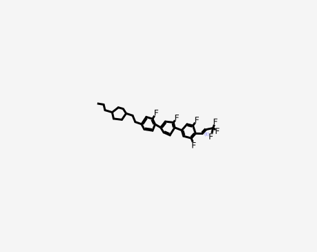 CCCC1CCC(CCc2ccc(-c3ccc(-c4cc(F)c(/C=C/C(F)(F)F)c(F)c4)c(F)c3)c(F)c2)CC1